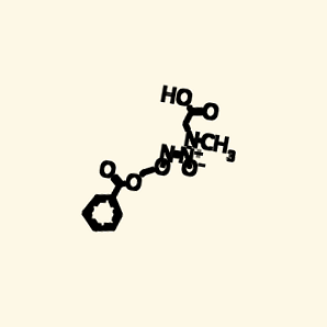 CN(CC(=O)O)[N+]([O-])=NOCOC(=O)c1ccccc1